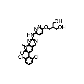 Cn1c(=O)c(-c2c(Cl)cccc2Cl)cc2cnc(Nc3ccc(OCC(CO)CO)nn3)nc21